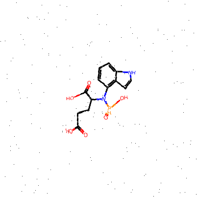 O=C(O)CCC(C(=O)O)N(c1cccc2[nH]ccc12)[PH](=O)O